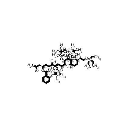 C=C(Br)C[C@@H](CCC(O)C=C[C@H](O[Si](C)(C)C(C)(C)C)[C@@H]1O[C@H]2CC[C@H](CCO[Si](CC)(CC)CC)O[C@@H]2[C@H](O[Si](C)(C)C(C)(C)C)[C@@H]1O[Si](C)(C)C(C)(C)C)OC(=O)c1ccccc1